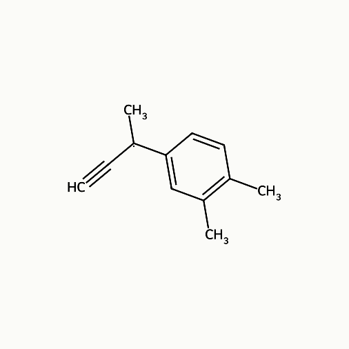 C#C[C](C)c1ccc(C)c(C)c1